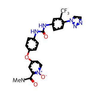 CNC(=O)c1cc(Oc2ccc(NC(=O)Nc3ccc(-n4ccnn4)c(C(F)(F)F)c3)cc2)cc[n+]1[O-]